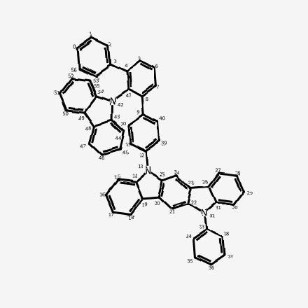 c1ccc(-c2cccc(-c3ccc(-n4c5ccccc5c5cc6c(cc54)c4ccccc4n6-c4ccccc4)cc3)c2-n2c3ccccc3c3ccccc32)cc1